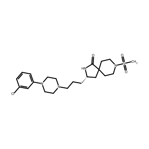 CS(=O)(=O)N1CCC2(CC1)C[C@H](CCCN1CCN(c3cccc(Cl)c3)CC1)NC2=O